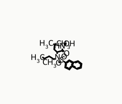 CC(C)CCN(C(CC(C)C)C(=O)NO)S(=O)(=O)c1ccc2ccccc2c1